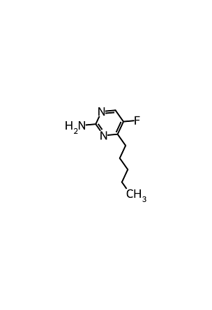 CCCCCc1nc(N)ncc1F